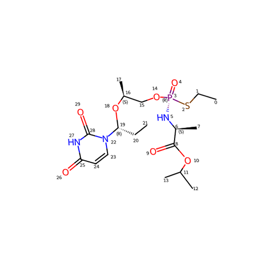 CCS[P@@](=O)(N[C@@H](C)C(=O)OC(C)C)OC[C@H](C)O[C@H](CC)n1ccc(=O)[nH]c1=O